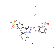 CS(=O)(=O)c1ccc(-c2cc(COc3cccc(CO)c3)nn2C2CCCCC2)cc1